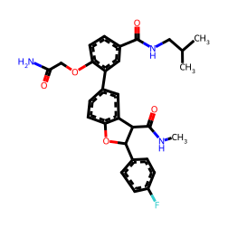 CNC(=O)C1c2cc(-c3cc(C(=O)NCC(C)C)ccc3OCC(N)=O)ccc2OC1c1ccc(F)cc1